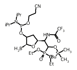 B[C@@H]1O[C@H](C(NC(=O)C(F)(F)F)C(O[Si](C)(C)C(C)(C)C)P(=O)(OCC)OCC)CC1OP(OCCC#N)N(C(C)C)C(C)C